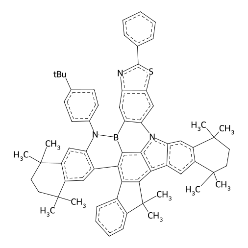 CC(C)(C)c1ccc(N2B3c4cc5nc(-c6ccccc6)sc5cc4-n4c5cc6c(cc5c5c7c(c(c3c54)-c3cc4c(cc32)C(C)(C)CCC4(C)C)-c2ccccc2C7(C)C)C(C)(C)CCC6(C)C)cc1